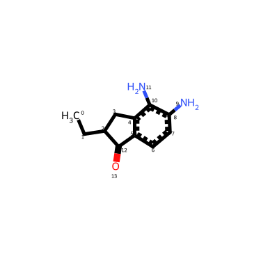 CCC1Cc2c(ccc(N)c2N)C1=O